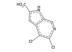 O=C(O)c1cc2c(Cl)c(Cl)ncc2[nH]1